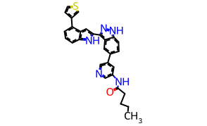 CCCCC(=O)Nc1cncc(-c2ccc3[nH]nc(-c4cc5c(-c6ccsc6)cccc5[nH]4)c3c2)c1